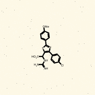 COc1ccc(-c2nc(-c3ccc(Cl)cc3)c(C(NC(=N)N)C(=O)O)s2)cc1